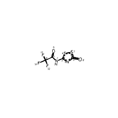 O=C(Nc1nc(=O)ss1)C(F)(F)F